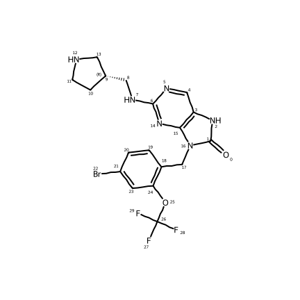 O=c1[nH]c2cnc(NC[C@@H]3CCNC3)nc2n1Cc1ccc(Br)cc1OC(F)(F)F